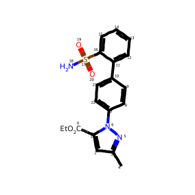 CCOC(=O)c1cc(C)nn1-c1ccc(-c2ccccc2S(N)(=O)=O)cc1